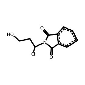 O=C1c2ccccc2C(=O)N1C(Cl)CCO